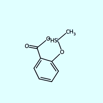 C[SiH]1OC(=O)c2ccccc2O1